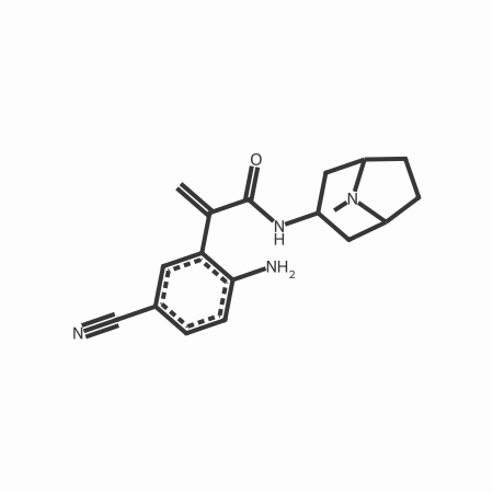 C=C(C(=O)NC1CC2CCC(C1)N2C)c1cc(C#N)ccc1N